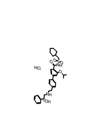 CC(C)Oc1cc(-c2ccc(CCNC[C@@H](O)c3ccccc3)cc2)ccc1C(=O)NS(=O)(=O)CC1CCCCC1.Cl